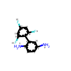 Nc1ccc(N)c(-c2c(F)cc(F)cc2F)c1